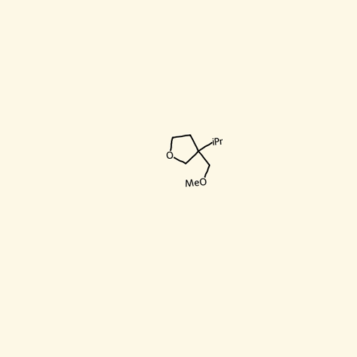 COCC1(C(C)C)CCOC1